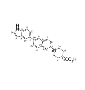 O=C(O)C1CCN(c2ccc3cc(-c4ccc5[nH]ccc5c4)ccc3n2)CC1